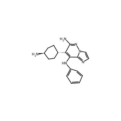 Nc1nn2ccnc2c(Nc2ccccc2)c1[C@H]1CC[C@H](N)CC1